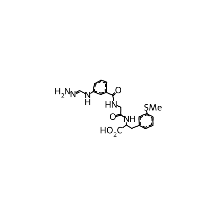 CSc1cccc(CC(NC(=O)CNC(=O)c2cccc(NC=NN)c2)C(=O)O)c1